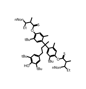 CCCCCCCCCC(CC)C(C)C(=S)Oc1cc(C)c(C(C)(CCc2cc(C(C)(C)C)c(O)c(C(C)(C)C)c2)c2cc(C(C)(C)C)c(OC(=S)C(C)C(CC)CCCCCCCCC)cc2C)cc1C(C)(C)C